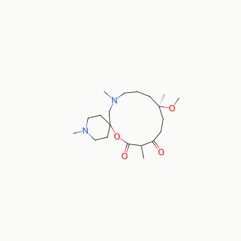 CO[C@]1(C)CCCN(C)CC2(CCN(C)CC2)OC(=O)C(C)C(=O)CC1